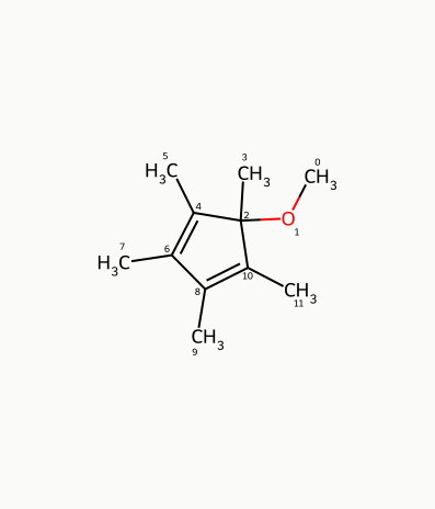 COC1(C)C(C)=C(C)C(C)=C1C